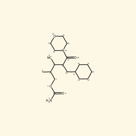 CC(COC(N)=O)C(C#N)C(CC1CCCCC1)C(=O)N1CCOCC1